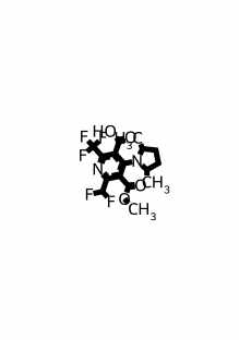 COC(=O)c1c(C(F)F)nc(C(F)(F)F)c(C(=O)O)c1N1C(C)CCC1C